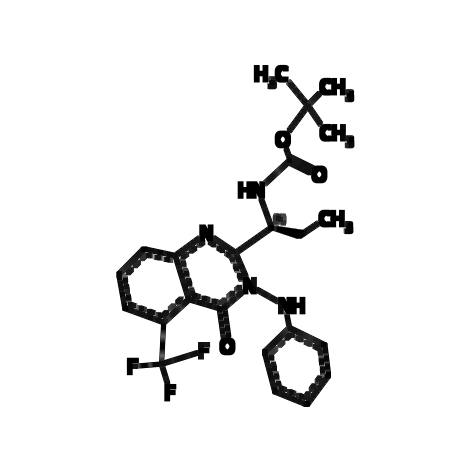 CC[C@H](NC(=O)OC(C)(C)C)c1nc2cccc(C(F)(F)F)c2c(=O)n1Nc1ccccc1